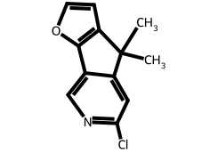 CC1(C)c2cc(Cl)ncc2-c2occc21